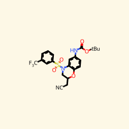 CC(C)(C)OC(=O)Nc1ccc2c(c1)N(S(=O)(=O)c1cccc(C(F)(F)F)c1)CC(CC#N)O2